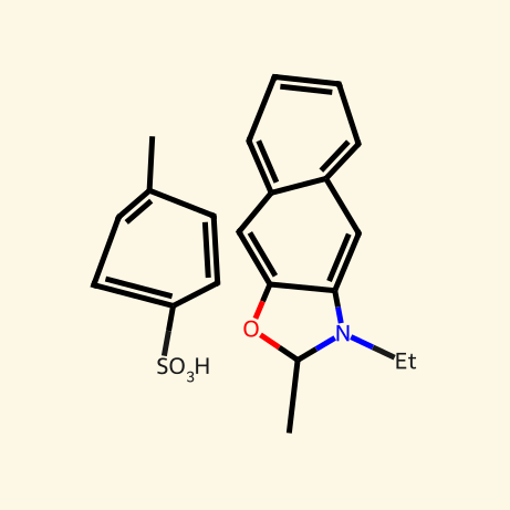 CCN1c2cc3ccccc3cc2OC1C.Cc1ccc(S(=O)(=O)O)cc1